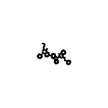 C=C(/C=C\C=C/C)c1cc(-c2ccc3c(c2)c2ccccc2n3/C(N)=C/C(=C\Cc2ccccc2)c2ccccc2)ccc1Nc1ccccc1